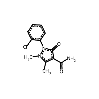 Cc1c(C(N)=O)c(=O)n(-c2ccccc2Cl)n1C